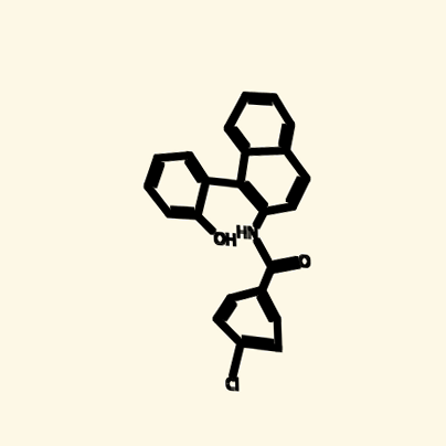 O=C(Nc1ccc2ccccc2c1-c1ccccc1O)c1ccc(Cl)cc1